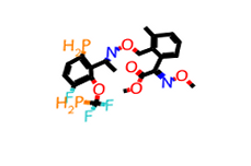 CO/N=C(/C(=O)OC)c1cccc(C)c1CO/N=C(\C)c1c(P)ccc(F)c1OC(F)(F)P